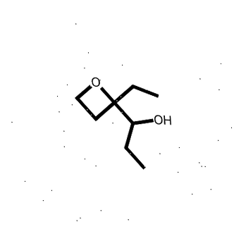 CCC(O)C1(CC)CCO1